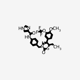 CCC1SC(=O)N(Cc2ccc(NC(=O)c3c[nH]cn3)cc2)N=C1c1ccc(OC)c(OC(F)(F)F)c1